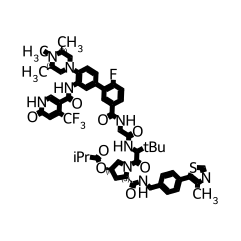 Cc1ncsc1-c1ccc(CNC(=O)[C@@H]2C[C@@H](OC(=O)C(C)C)CN2C(=O)C(NC(=O)CNC(=O)c2ccc(F)c(-c3ccc(N4C[C@@H](C)N(C)[C@@H](C)C4)c(NC(=O)c4c[nH]c(=O)cc4C(F)(F)F)c3)c2)C(C)(C)C)cc1